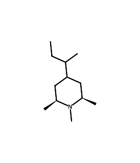 CCC(C)C1C[C@@H](C)N(C)[C@@H](C)C1